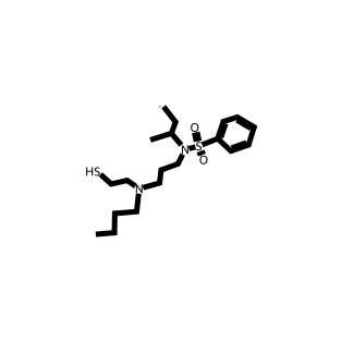 [CH2]CC(C)N(CCCN(CCS)CCCC)S(=O)(=O)c1ccccc1